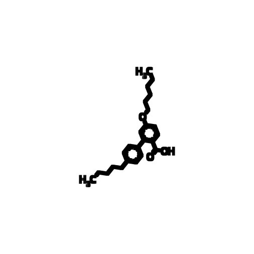 CCCCCCOc1ccc(C(=O)O)c(-c2ccc(CCCCC)cc2)c1